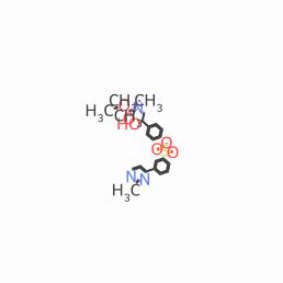 Cc1nccc(-c2cccc(S(=O)(=O)Oc3ccc(C(O)CN(C)C(=O)OC(C)(C)C)cc3)c2)n1